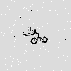 C=C(C[SiH2]CC)CC(N1CCCC1)N1CCCC1